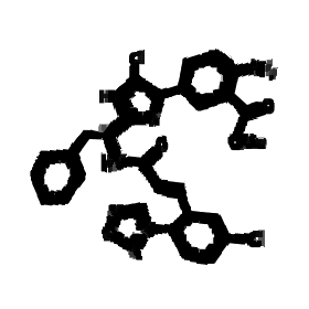 COC(=O)c1cc(-c2nc([C@H](Cc3ccccc3)NC(=O)C=Cc3cc(Cl)ccc3-n3cnnn3)[nH]c2Cl)ccc1N